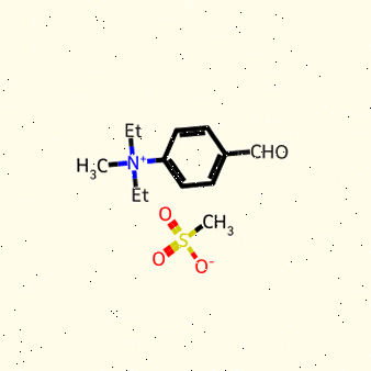 CC[N+](C)(CC)c1ccc(C=O)cc1.CS(=O)(=O)[O-]